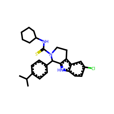 CC(C)c1ccc(C2c3[nH]c4ccc(Cl)cc4c3CCN2C(=S)NC2CCCCC2)cc1